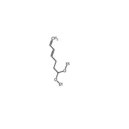 C=CC=CCCC(OCC)OCC